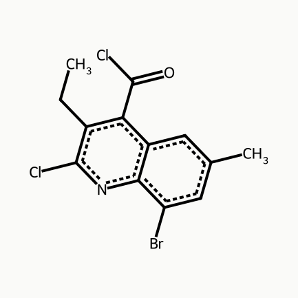 CCc1c(Cl)nc2c(Br)cc(C)cc2c1C(=O)Cl